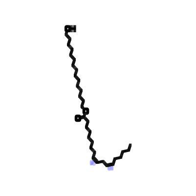 CCCCC/C=C\C/C=C\CCCCCCCC(=O)OCCCCCCCCCCCCCCCO